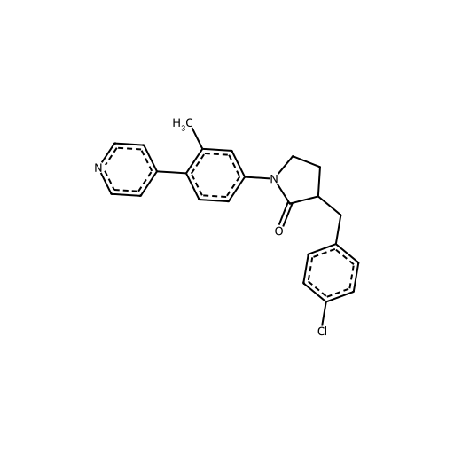 Cc1cc(N2CCC(Cc3ccc(Cl)cc3)C2=O)ccc1-c1ccncc1